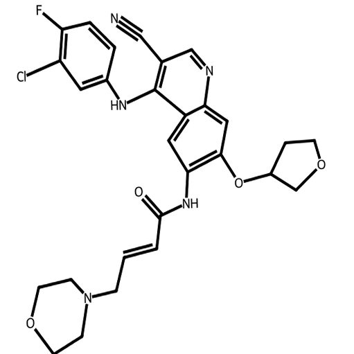 N#Cc1cnc2cc(OC3CCOC3)c(NC(=O)/C=C/CN3CCOCC3)cc2c1Nc1ccc(F)c(Cl)c1